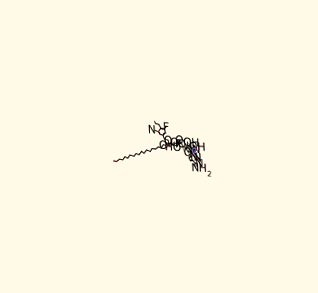 CCCCCCCCCCCCCCCCCCOC[C@H](COP(=O)(O)OC[C@H]1O[C@@](/C=N\C)(c2ccc3c(N)ncnn23)[C@H](O)[C@@H]1O)OCc1cc(F)c(CCC)c(C#N)c1